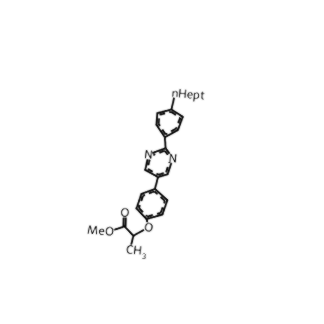 CCCCCCCc1ccc(-c2ncc(-c3ccc(OC(C)C(=O)OC)cc3)cn2)cc1